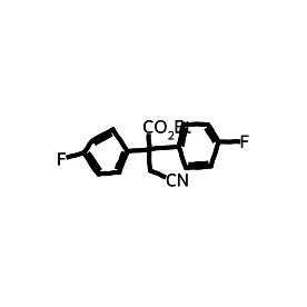 CCOC(=O)C(CC#N)(c1ccc(F)cc1)c1ccc(F)cc1